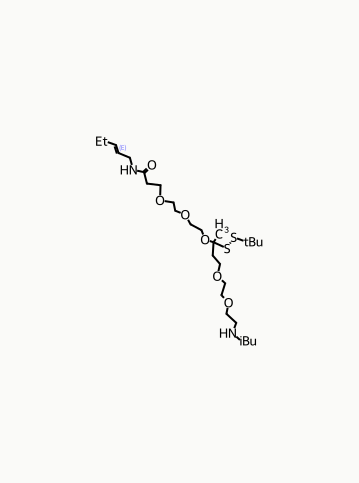 CC/C=C/CNC(=O)CCOCCOCCOC(C)(CCOCCOCCNC(C)CC)SSC(C)(C)C